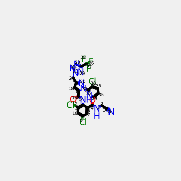 N#CCNC(=O)c1cc(Cl)cc(Cl)c1NC(=O)c1cc(Cn2nnc(C(F)(F)F)n2)nn1-c1ncccc1Cl